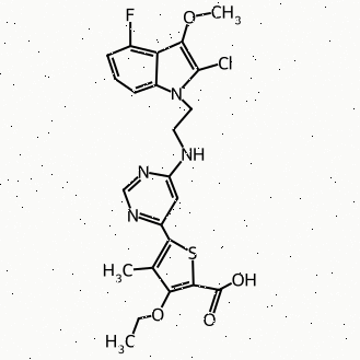 CCOc1c(C(=O)O)sc(-c2cc(NCCn3c(Cl)c(OC)c4c(F)cccc43)ncn2)c1C